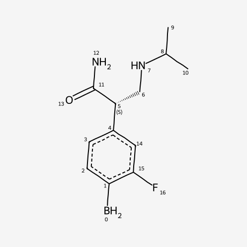 Bc1ccc([C@@H](CNC(C)C)C(N)=O)cc1F